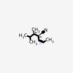 C/C=C\[C@H](C#N)[C@H](C)C(C)C